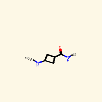 CCNC(=O)C1CC(NC(=O)O)C1